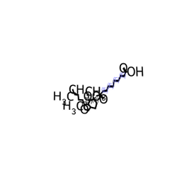 CO[C@H]1C2C(CC[C@H]1OC(=O)/C=C/C=C/C=C/C=C/C(=O)O)CO[C@]2(C)CCC=C(C)C